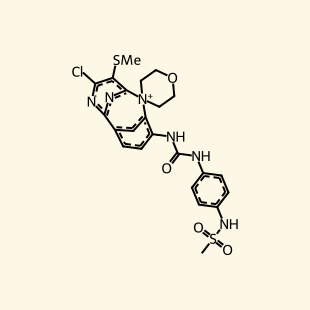 CSc1c(Cl)nc2nc1[N+]1(CCOCC1)c1cc-2ccc1NC(=O)Nc1ccc(NS(C)(=O)=O)cc1